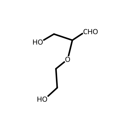 O=CC(CO)OCCO